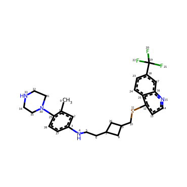 Cc1cc(NCCC2CC(CSc3ccnc4cc(C(F)(F)F)ccc34)C2)ccc1N1CCNCC1